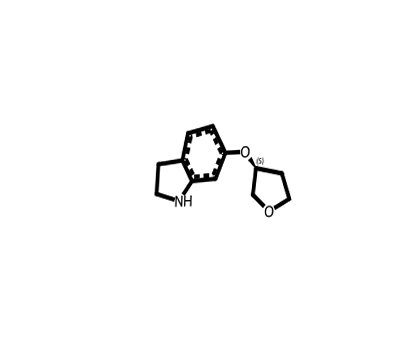 c1cc2c(cc1O[C@H]1CCOC1)NCC2